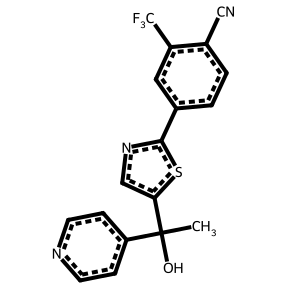 CC(O)(c1ccncc1)c1cnc(-c2ccc(C#N)c(C(F)(F)F)c2)s1